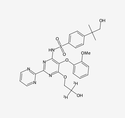 [2H]C([2H])(O)COc1nc(-c2ncccn2)nc(NS(=O)(=O)c2ccc(C(C)(C)CO)cc2)c1Oc1ccccc1OC